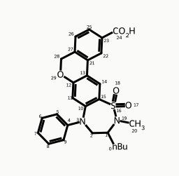 CCCCC1CN(c2ccccc2)c2cc3c(cc2S(=O)(=O)N1C)-c1cc(C(=O)O)ccc1CO3